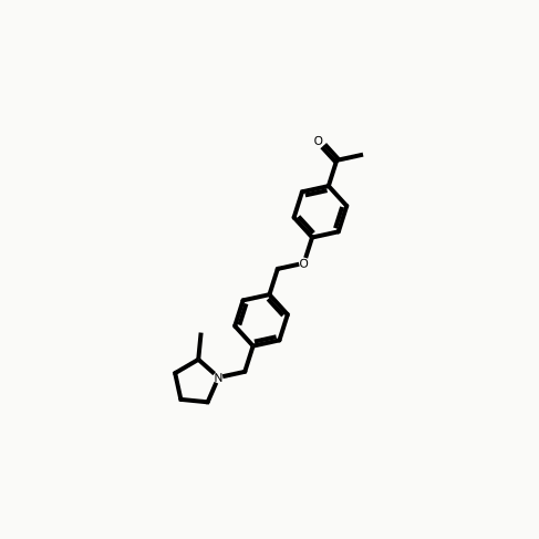 CC(=O)c1ccc(OCc2ccc(CN3CCCC3C)cc2)cc1